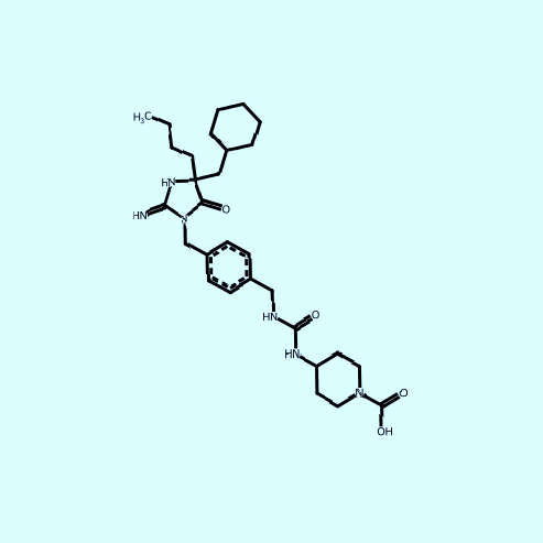 CCCCC1(CC2CCCCC2)NC(=N)N(Cc2ccc(CNC(=O)NC3CCN(C(=O)O)CC3)cc2)C1=O